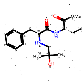 COC(=O)[C@H](CC(C)C)NC(=O)[C@H](Cc1ccccc1)NCC(C)(C)O